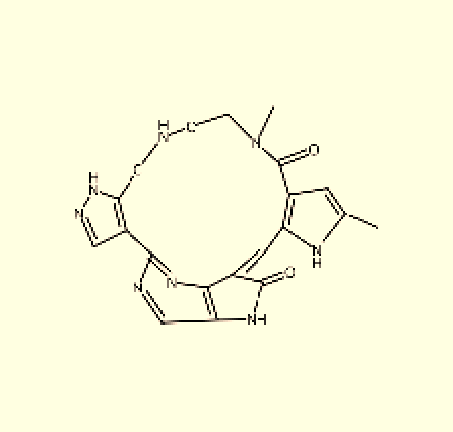 Cc1cc2c([nH]1)/C=C1\C(=O)Nc3cnc(nc31)-c1cn[nH]c1CNCCN(C)C2=O